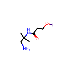 CC(C)(CN)NC(=O)CCOI